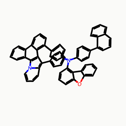 c1ccc(-c2c3c4c(-c5ccc(N(c6ccc(-c7cccc8ccccc78)cc6)c6cccc7oc8ccccc8c67)cc5)cccc4c4ccccc4c3n3ccccc23)cc1